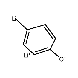 [Li+].[Li][c]1ccc([O-])cc1